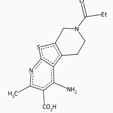 CCC(=O)N1CCc2c(sc3nc(C)c(C(=O)O)c(N)c23)C1